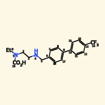 CCN(CCNCc1ccc(-c2ccc(C(F)(F)F)cc2)cc1)C(=O)O